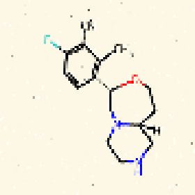 Cc1c([C@H]2CN3CCNC[C@H]3CCO2)ccc(F)c1C#N